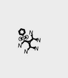 N#CC(C#N)=C1C(=C(C#N)C#N)C1=C(C#N)S(=O)(=O)c1ccccc1